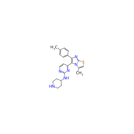 Cc1ccc(-c2nc3scc(C)n3c2-c2ccnc(NC3CCNCC3)n2)cc1